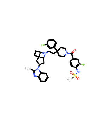 Cc1nc2ccccc2n1C1CC2N(CCC3(c4cccc(F)c4)CCN(C(=O)c4ccc(NS(C)(=O)=O)c(F)c4)CC3)C3CCC32C1